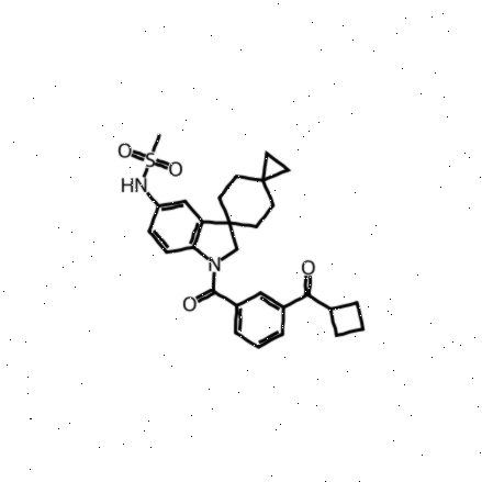 CS(=O)(=O)Nc1ccc2c(c1)C1(CCC3(CC3)CC1)CN2C(=O)c1cccc(C(=O)C2CCC2)c1